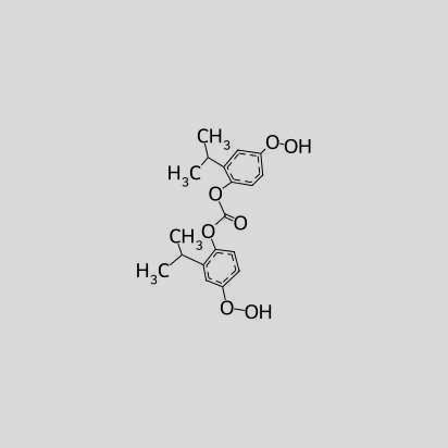 CC(C)c1cc(OO)ccc1OC(=O)Oc1ccc(OO)cc1C(C)C